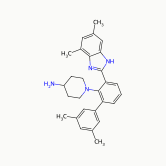 Cc1cc(C)cc(-c2cccc(-c3nc4c(C)cc(C)cc4[nH]3)c2N2CCC(N)CC2)c1